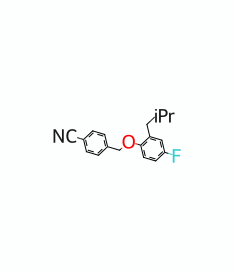 CC(C)Cc1cc(F)ccc1OCc1ccc(C#N)cc1